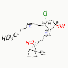 CCC1([C@H](O)C/C=C/[C@@H]2[C@@H](C/C=C\CCCC(=O)O)[C@H](Cl)C[C@H]2O)CCC1